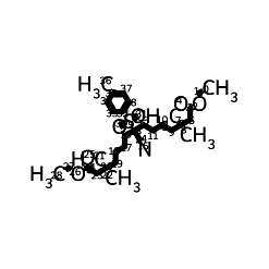 CCOC(=O)CC(C)(C)CCCCC(C#N)(CCCCC(C)(C)CC(=O)OCC)S(=O)(=O)c1ccc(C)cc1